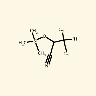 [2H]C([2H])([2H])C(C#N)O[Si](C)(C)C